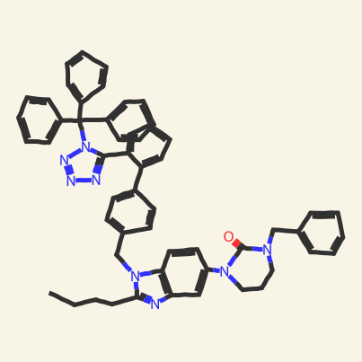 CCCCc1nc2cc(N3CCCN(Cc4ccccc4)C3=O)ccc2n1Cc1ccc(-c2ccccc2-c2nnnn2C(c2ccccc2)(c2ccccc2)c2ccccc2)cc1